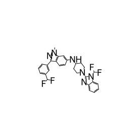 Cn1nc(-c2cccc(C(F)F)c2)c2ccc(NC3CCN(c4nc5ccccc5n4C(F)F)CC3)cc21